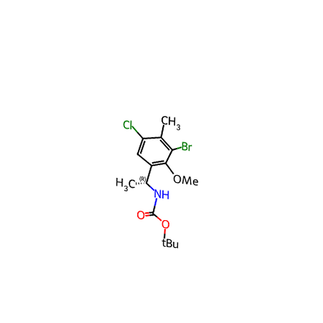 COc1c([C@@H](C)NC(=O)OC(C)(C)C)cc(Cl)c(C)c1Br